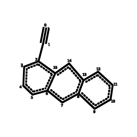 [C]#Cc1[c]ccc2cc3ccccc3cc12